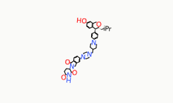 CC(C)C[C@H]1OCc2cc(O)ccc2[C@@H]1c1ccc(N2CCC(CN3CCN(c4ccc5c(c4)CN([C@H]4CCC(=O)NC4=O)C5=O)CC3)CC2)cc1